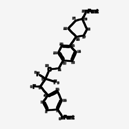 CCCCCc1ccc(C(F)C(F)(F)OCc2ccc(C3CCC(CCCCC)CC3)cc2)cc1